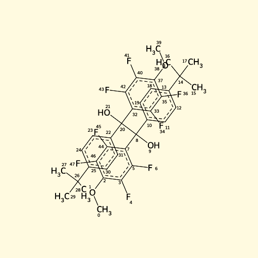 COc1c(F)c(F)c(C(O)(c2ccc(C(C)(C)C)cc2)C(O)(c2ccc(C(C)(C)C)cc2)c2c(F)c(F)c(OC)c(F)c2F)c(F)c1F